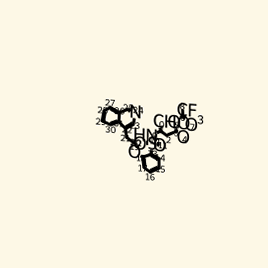 O=CC(CC(=O)OC(=O)C(F)(F)F)NS(=O)(=O)c1ccccc1OCCc1cncc2ccccc12